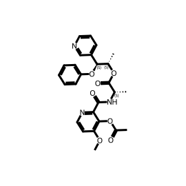 COc1ccnc(C(=O)N[C@@H](C)C(=O)O[C@@H](C)[C@@H](Oc2ccccc2)c2cccnc2)c1OC(C)=O